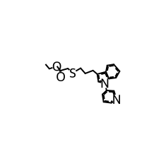 CCOC(=O)CSCCCc1cn(-c2cccnc2)c2ccccc12